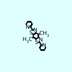 Cc1c2nc(-c3ccccn3)sc2c(C)c2sc(-c3ccccn3)nc12